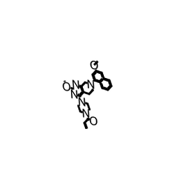 C=CC(=O)N1CCN(c2nc(OC)nc3c2CCN(c2cc(OC)cc4ccccc24)C3)CC1